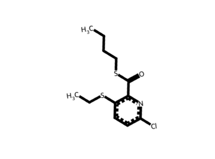 CCCCSC(=O)c1nc(Cl)ccc1SCC